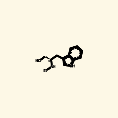 CCN[C@H](CO)Cc1c[nH]c2ccccc12